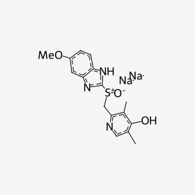 COc1ccc2[nH]c([S+]([O-])Cc3ncc(C)c(O)c3C)nc2c1.[Na].[Na]